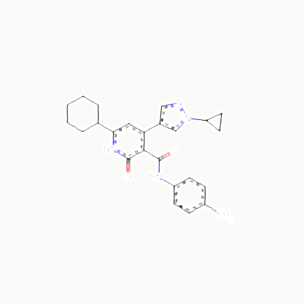 Cc1ccc(NC(=O)c2c(-c3cnn(C4CC4)c3)cc(C3CCCCC3)[nH]c2=O)cc1